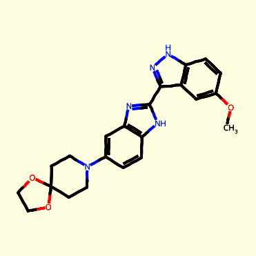 COc1ccc2[nH]nc(-c3nc4cc(N5CCC6(CC5)OCCO6)ccc4[nH]3)c2c1